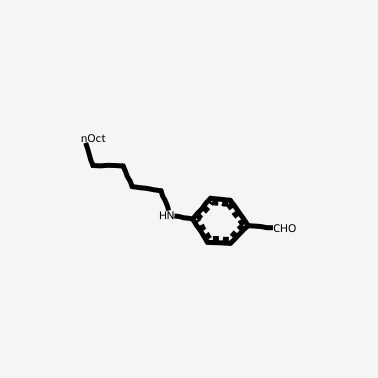 CCCCCCCCCCCCNc1ccc(C=O)cc1